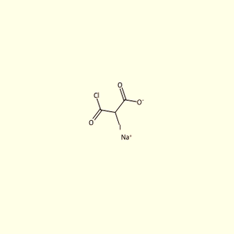 O=C([O-])C(I)C(=O)Cl.[Na+]